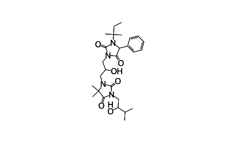 CCC(C)(C)N1C(=O)N(CC(O)CN2C(=O)N(CC(O)C(C)C)C(=O)C2(C)C)C(=O)C1c1ccccc1